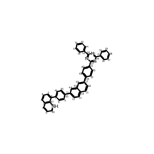 C1=Cc2cccc(-c3ccc(-c4ccc5ccc(-c6ccc(-c7nc(-c8ccccc8)nc(-c8ccccc8)n7)cc6)cc5c4)cc3)c2NC1